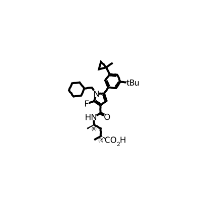 C[C@H](C[C@@H](C)C(=O)O)NC(=O)c1cc(-c2cc(C(C)(C)C)cc(C3(C)CC3)c2)n(CC2CCCCC2)c1F